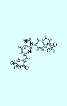 CS(=O)(=O)N1CCc2cc(-n3cnc4ccc(/C=C5\SC(=O)NC5=O)nc43)ccc21